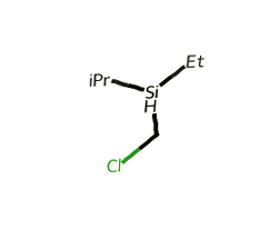 CC[SiH](CCl)C(C)C